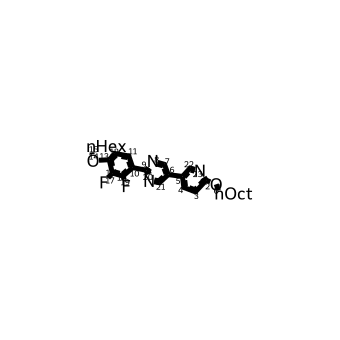 CCCCCCCCOc1ccc(-c2cnc(-c3ccc(OCCCCCC)c(F)c3F)nc2)cn1